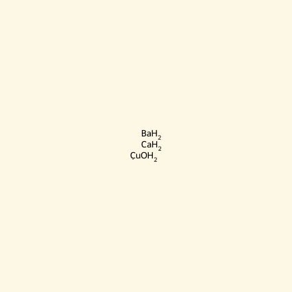 O.[BaH2].[CaH2].[Cu]